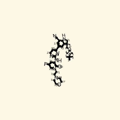 CC(C)(C)[Si](C)(C)OC[C@@]1(C)CNc2c(C#N)cc(-c3ccnc(Nc4cc(F)cn(CCN5CCOCC5)c4=O)n3)cc21